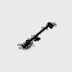 CC(C)N/C1=C(\N)c2ccccc2N(C(=O)CCC(=O)NCCOCCOCCOCCOCCC(=O)N[C@H](CCCCNC(=O)COC2CCCCC/C(N[C@H]3O[C@H](CO)C([C@H]4O[C@H](CCO)[C@@H](O)[C@H](O)[C@H]4O)[C@H](O)[C@H]3O)=C\2NN)C(=O)N[C@H](C(=O)N[C@@H](C)C(=O)C(C)C)C(C)C)Cc2ccccc21